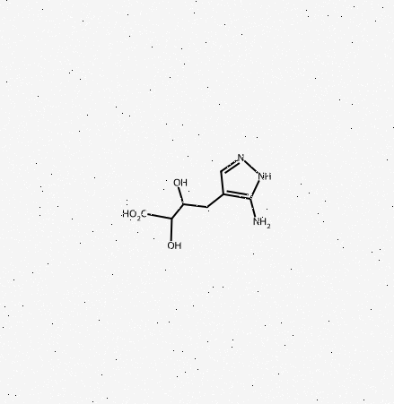 Nc1[nH]ncc1CC(O)C(O)C(=O)O